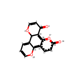 O=C1C=COC2C3=CC=COC3=c3ccc(=O)oc3=C12